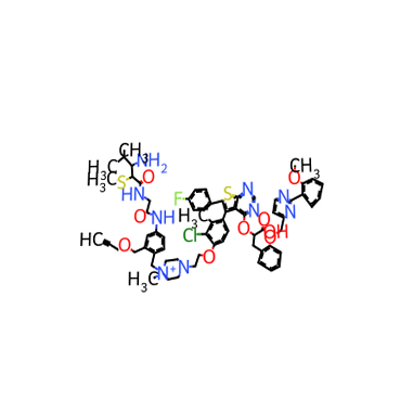 C#CCOCc1cc(NC(=O)CNC(=O)C(SC)C(N)C(C)C)ccc1C[N+]1(C)CCN(CCOc2ccc(-c3c(-c4ccc(F)cc4)sc4ncnc(OC(Cc5ccccc5OCc5ccnc(-c6ccccc6OC)n5)C(=O)O)c34)c(C)c2Cl)CC1